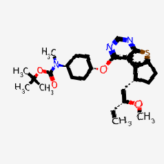 CC[C@H](C[C@H]1CCc2sc3ncnc(O[C@H]4CC[C@H](N(C)C(=O)OC(C)(C)C)CC4)c3c21)OC